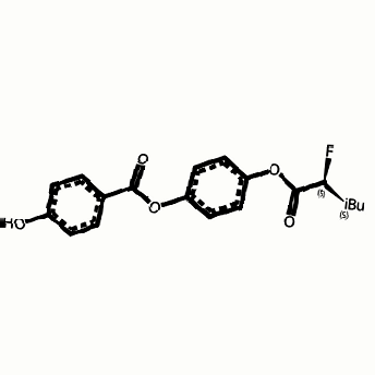 CC[C@H](C)[C@H](F)C(=O)Oc1ccc(OC(=O)c2ccc(O)cc2)cc1